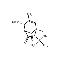 CC1=C[C@@H]2C(=O)N(C(=O)N2[Si](C)(C)C(C)(C)C)[C@@H]1C(=O)O